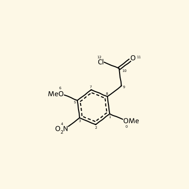 COc1cc([N+](=O)[O-])c(OC)cc1CC(=O)Cl